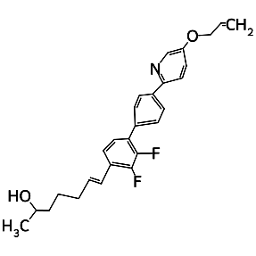 C=CCOc1ccc(-c2ccc(-c3ccc(C=CCCCC(C)O)c(F)c3F)cc2)nc1